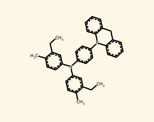 CCc1cc(N(c2ccc(N3c4ccccc4Cc4ccccc43)cc2)c2ccc(C)c(CC)c2)ccc1C